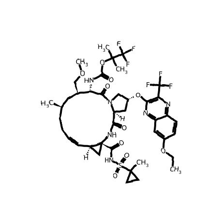 CCOc1ccc2nc(C(F)(F)F)c(O[C@@H]3C[C@H]4C(=O)N[C@]5(C(=O)NS(=O)(=O)C6(C)CC6)C[C@H]5C=CCC[C@@H](C)C[C@@H](COC)[C@H](NC(=O)OC(C)(C)C(F)(F)F)C(=O)N4C3)nc2c1